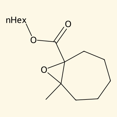 CCCCCCOC(=O)C12CCCCCC1(C)O2